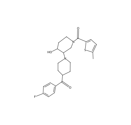 Cc1ccc(C(=O)N2CCC(O)C(N3CCC(C(=O)c4ccc(F)cc4)CC3)C2)s1